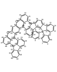 c1ccc(C2(c3ccccc3)c3ccccc3-c3ccc4c(c32)c2cccc3c2n4-c2cccc4c2B3c2cc3c(cc2O4)Oc2cccc4c2B3c2cccc3c5ccccc5n-4c23)cc1